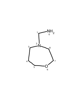 NCN1CCCOCC1